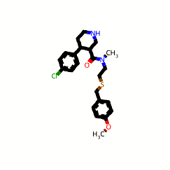 COc1ccc(CSCCN(C)C(=O)C2CNCCC2c2ccc(Cl)cc2)cc1